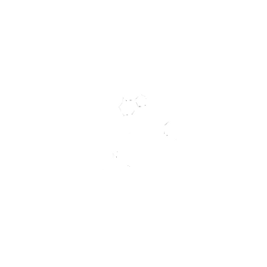 NC(=O)C[C@H]1CCc2sc3nccc(O[C@H]4CC[C@H](N5[C@@H](CF)COC[C@@H]5CF)CC4)c3c21